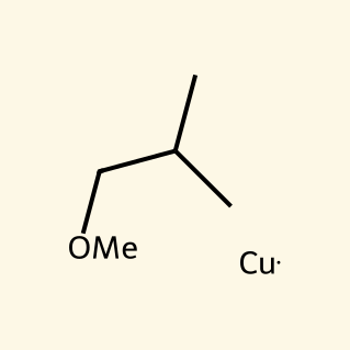 COCC(C)C.[Cu]